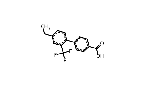 CCc1ccc(-c2ccc(C(=O)O)cc2)c(C(F)(F)F)c1